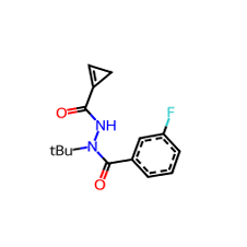 CC(C)(C)N(NC(=O)C1=CC1)C(=O)c1cccc(F)c1